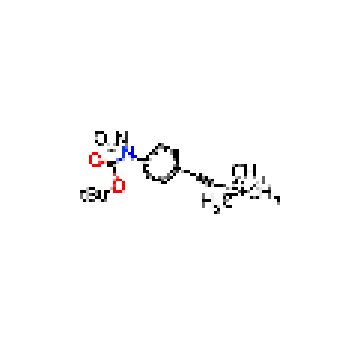 CC(C)(C)OC(=O)N(c1ccc(C#C[Si](C)(C)C)cc1)[N+](=O)[O-]